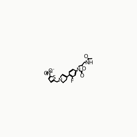 CC(=O)NCC1CN(c2ccc(C3=CCN(Cc4ccc([N+](=O)[O-])s4)CC3)c(F)c2)C(=O)O1